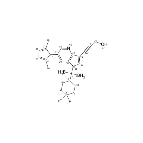 BC(B)(C1CCC(F)(F)CC1)n1cc(C#CCO)c2ncc(C3C(C)=CC=C3C)cc21